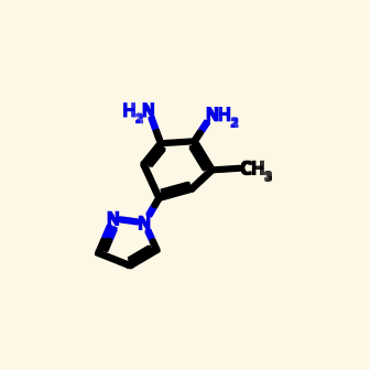 Cc1cc(-n2cccn2)cc(N)c1N